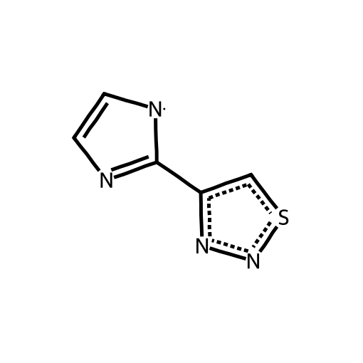 C1=CN=C(c2csnn2)[N]1